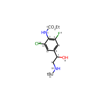 CCOC(=O)Nc1c(F)cc(C(O)CNC(C)(C)C)cc1Cl